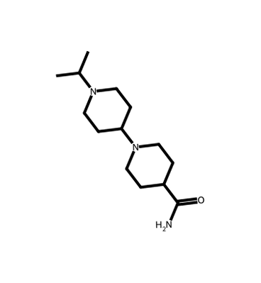 CC(C)N1CCC(N2CCC(C(N)=O)CC2)CC1